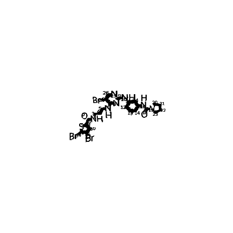 O=C(NCCCNc1nc(Nc2cccc(NC(=O)N3CCCC3)c2)ncc1Br)c1cc(Br)c(Br)s1